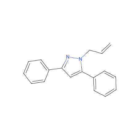 C=CCn1nc(-c2ccccc2)cc1-c1ccccc1